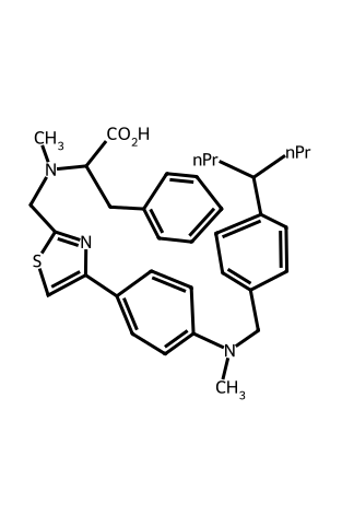 CCCC(CCC)c1ccc(CN(C)c2ccc(-c3csc(CN(C)C(Cc4ccccc4)C(=O)O)n3)cc2)cc1